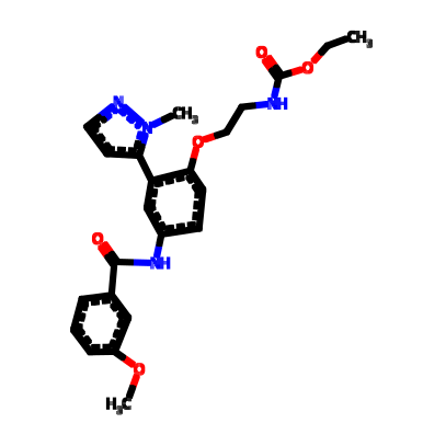 CCOC(=O)NCCOc1ccc(NC(=O)c2cccc(OC)c2)cc1-c1ccnn1C